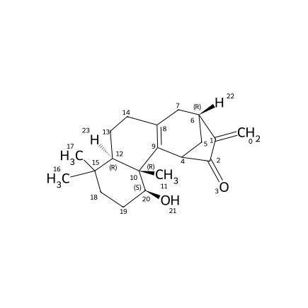 C=C1C(=O)C2C[C@@H]1CC1=C2[C@@]2(C)[C@H](CC1)C(C)(C)CC[C@@H]2O